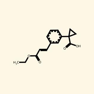 CCOC(=O)C=Cc1cccc(C2(C(=O)O)CC2)c1